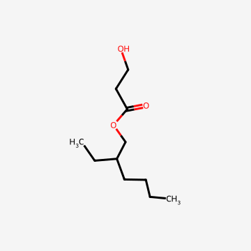 CCCCC(CC)COC(=O)CCO